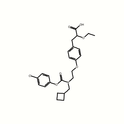 CCOC(Cc1ccc(OCCN(CC2CCC2)C(=O)Oc2ccc(Cl)cc2)cc1)C(=O)O